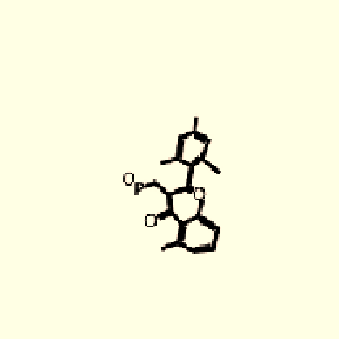 Cc1cc(C)c(C(=O)C(CP=O)C(=O)c2c(C)cccc2C)c(C)c1